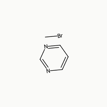 CBr.c1cncnc1